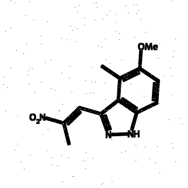 COc1ccc2[nH]nc(C=C(C)[N+](=O)[O-])c2c1C